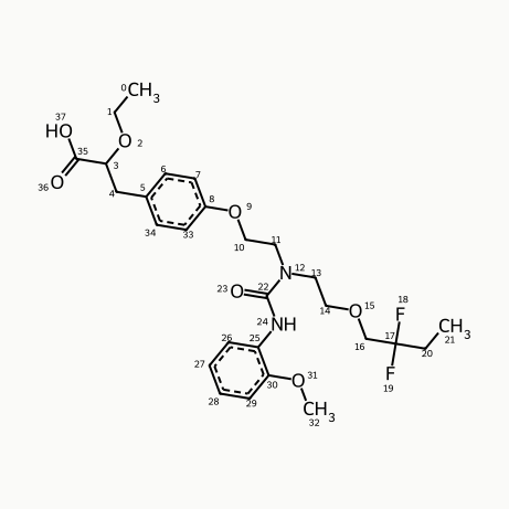 CCOC(Cc1ccc(OCCN(CCOCC(F)(F)CC)C(=O)Nc2ccccc2OC)cc1)C(=O)O